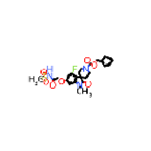 CN1C(=O)C2(CCN(C(=O)OCc3ccccc3)CC2)c2c(F)cc(OCC(=O)NS(C)(=O)=O)cc21